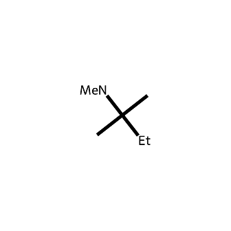 [CH2]CC(C)(C)NC